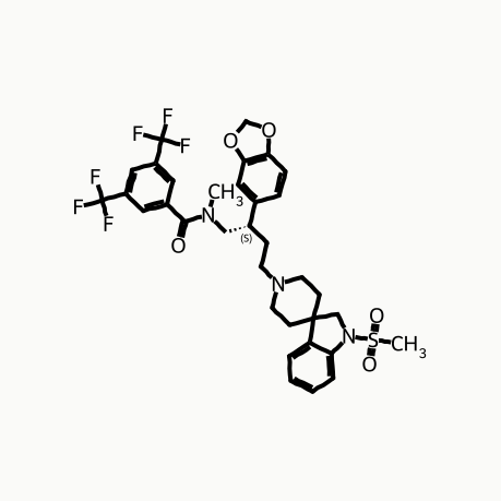 CN(C[C@@H](CCN1CCC2(CC1)CN(S(C)(=O)=O)c1ccccc12)c1ccc2c(c1)OCO2)C(=O)c1cc(C(F)(F)F)cc(C(F)(F)F)c1